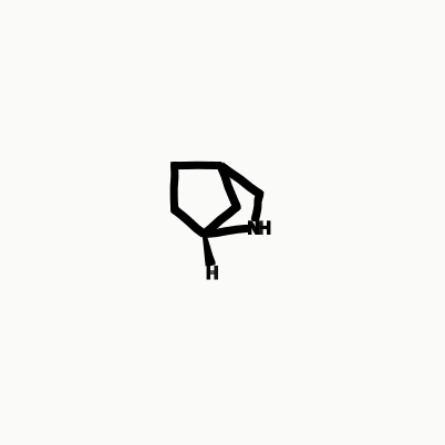 C1C[C@@H]2CC1CN2